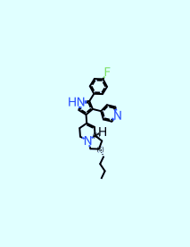 CCCC[C@H]1C[C@H]2C=C(c3c[nH]c(-c4ccc(F)cc4)c3-c3ccncc3)CCN2C1